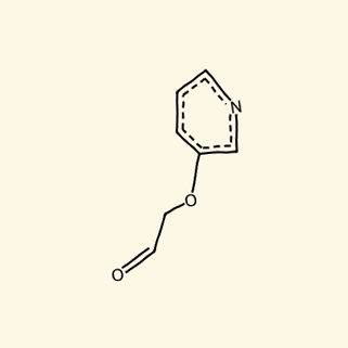 O=CCOc1cccnc1